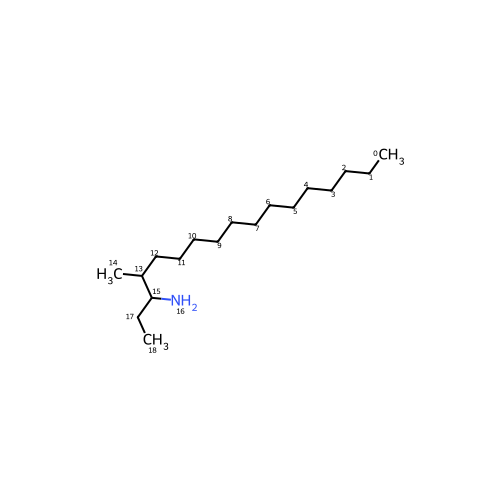 CCCCCCCCCCCCCC(C)C(N)CC